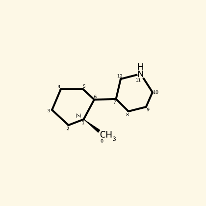 C[C@H]1CCCCC1C1CCCNC1